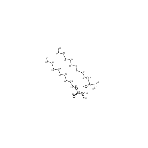 C=C(C)C(=O)OCCCCCCCCCC.C=C(C)C(=O)OCCCCCCCCCC